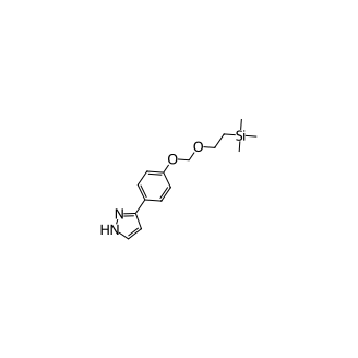 C[Si](C)(C)CCOCOc1ccc(-c2cc[nH]n2)cc1